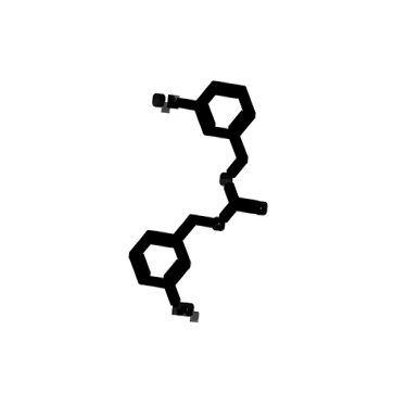 O=C(OCc1cccc([N+](=O)[O-])c1)OCc1cccc([N+](=O)[O-])c1